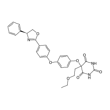 CCOCCC1(Oc2ccc(Oc3ccc(C4=N[C@@H](c5ccccc5)CO4)cc3)cc2)C(=O)NC(=O)NC1=O